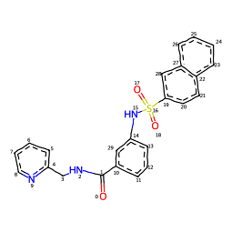 O=C(NCc1ccccn1)c1cccc(NS(=O)(=O)c2ccc3ccccc3c2)c1